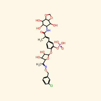 CC(=Cc1ccc(OC2OC(C(C)=NOCc3cccc(Cl)c3)C(O)C2O)c(OP(=O)(O)O)c1)C(=O)NC1C(O)C(O)C2OCOC2C1O